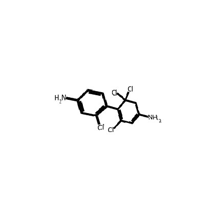 NC1=CC(Cl)=C(c2ccc(N)cc2Cl)C(Cl)(Cl)C1